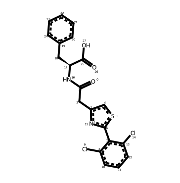 O=C(Cc1csc(-c2c(Cl)cccc2Cl)n1)N[C@@H](Cc1ccccc1)C(=O)O